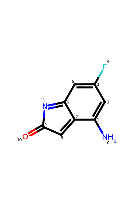 Nc1cc(F)cc2c1=CC(=O)N=2